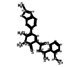 Cc1c(-c2ccc3c(c2)SS(N)=N3)cc(C(=O)NC(C)c2ccccc2OC(F)(F)F)c(=O)n1C